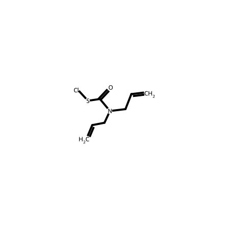 C=CCN(CC=C)C(=O)SCl